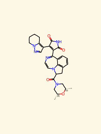 C[C@@H]1CN(C(=O)C2Cc3cccc4c3N2C=CN=C4C2=C(c3cnn4c3CCCC4)C(=O)NC2=O)C[C@H](C)O1